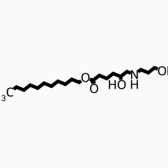 CCCCCCCCCCCOC(=O)CCCC(O)CNCCCO